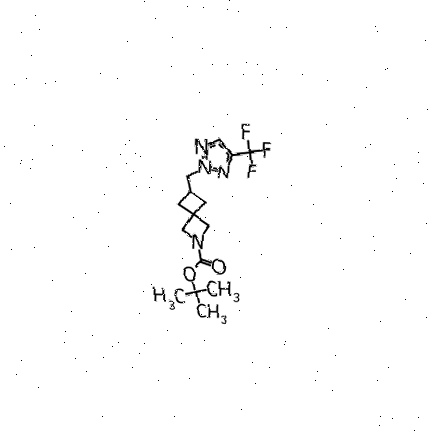 CC(C)(C)OC(=O)N1CC2(CC(Cn3ncc(C(F)(F)F)n3)C2)C1